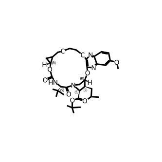 COc1ccc2nc3c(nc2c1)O[C@H]1CN(C(=O)[C@H](C(C)(C)C)NC(=O)O[C@@H]2CC2CCCCC3)[C@H](C(=O)OC(C)(C)C)[C@@H]1CC(C)C